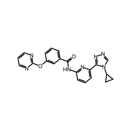 O=C(Nc1cccc(-c2nncn2C2CC2)n1)c1cccc(Oc2ncccn2)c1